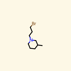 CC1CCCN(CCCBr)C1